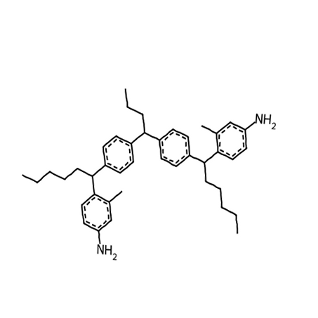 CCCCCC(c1ccc(C(CCC)c2ccc(C(CCCCC)c3ccc(N)cc3C)cc2)cc1)c1ccc(N)cc1C